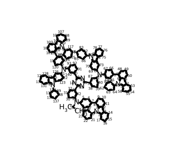 CC(C)N(c1ccc(-c2cccc3c4ccccc4n(-c4ccccc4)c23)cc1)c1cccc(-c2nc(-c3cccc(N(c4ccc(-c5cccc6c7ccccc7n(-c7ccccc7)c56)cc4)c4ccc5c(c4)c4ccccc4n5-c4ccccc4)c3)nc(-c3cccc(N(c4ccc(-c5cccc6c7ccccc7n(-c7ccccc7)c56)cc4)c4ccc5c(c4)c4ccccc4n5-c4ccccc4)c3)n2)c1